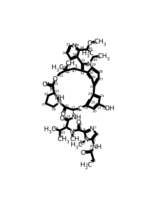 C=CC(=O)Nc1cnc(C(=O)N(C)C(C(=O)N[C@H]2Cc3cc(O)cc(c3)-c3ccc4c(c3)c(c(-c3cccnc3[C@H](C)OC)n4CC)CC(C)(C)COC(=O)[C@@H]3CCCN(N3)C2=O)C(C)C)n1C